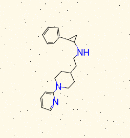 c1ccc(C2CC2NCCC2CCN(c3ccccn3)CC2)cc1